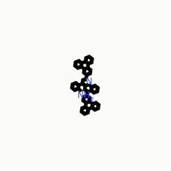 NCc1ccccc1-c1cc(-c2ccc3c4ccccc4c4ccccc4c3c2)nc2c1cc(-c1ccc3c4ccccc4c4ccccc4c3c1)c1ccccc12